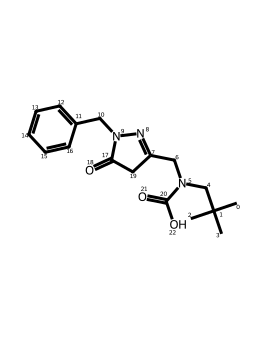 CC(C)(C)CN(CC1=NN(Cc2ccccc2)C(=O)C1)C(=O)O